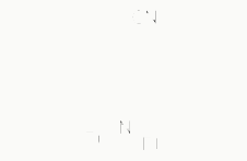 CCN(CC)c1ccc(C#N)cc1